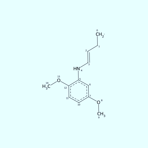 [CH2]C/C=C/Nc1cc(OC)ccc1OC